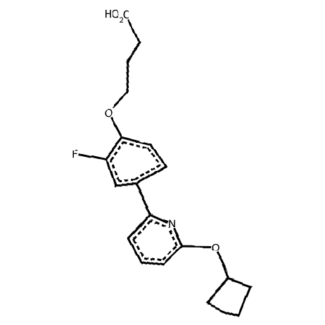 O=C(O)CCCOc1ccc(-c2cccc(OC3CCC3)n2)cc1F